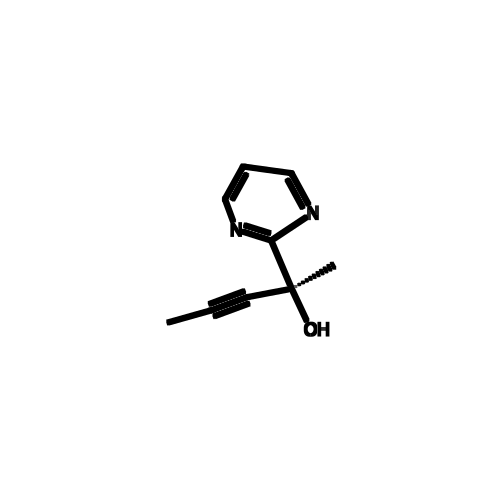 CC#C[C@](C)(O)c1ncccn1